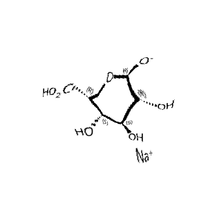 O=C(O)[C@@H]1O[C@@H]([O-])[C@H](O)[C@@H](O)[C@@H]1O.[Na+]